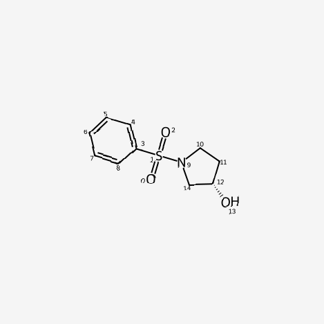 O=S(=O)(c1ccccc1)N1CC[C@H](O)C1